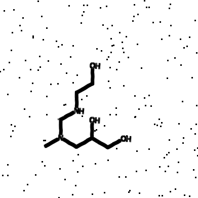 CN([CH]NCCO)CC(O)CO